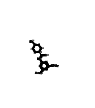 CC(=O)Nc1cc(NC(C)=O)cc(NC(=O)[C@H]2CC[C@H](C(C)(C)C)CC2)c1